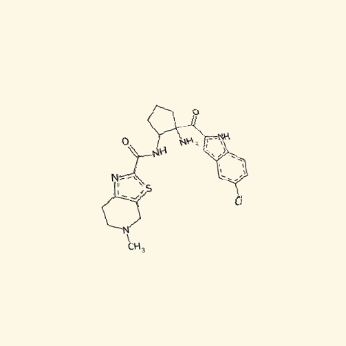 CN1CCc2nc(C(=O)NC3CCCC3(N)C(=O)c3cc4cc(Cl)ccc4[nH]3)sc2C1